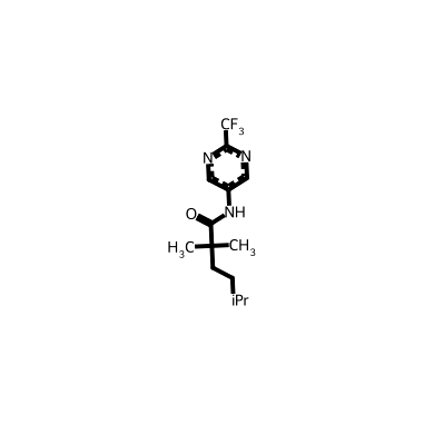 CC(C)CCC(C)(C)C(=O)Nc1cnc(C(F)(F)F)nc1